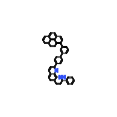 C1=CC(c2ccccc2)Nc2c1ccc1ccc(-c3ccc(-c4cccc(-c5ccc6ccc7cccc8ccc5c6c78)c4)cc3)nc21